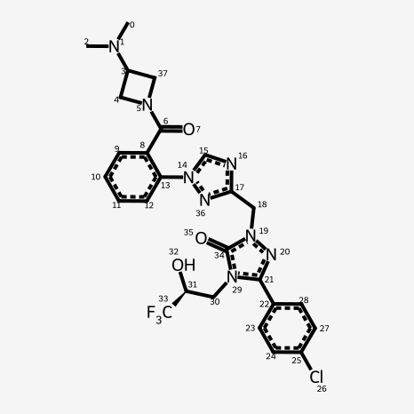 CN(C)C1CN(C(=O)c2ccccc2-n2cnc(Cn3nc(-c4ccc(Cl)cc4)n(C[C@H](O)C(F)(F)F)c3=O)n2)C1